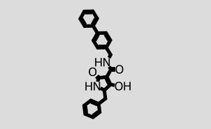 O=C(NCc1ccc(-c2ccccc2)cc1)C1=C(O)C(Cc2ccccc2)NC1=O